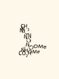 COc1cc(OC)cc(N(CCCNCC(=O)O)c2ccc3ncc(-c4cnn(C)c4)nc3c2)c1